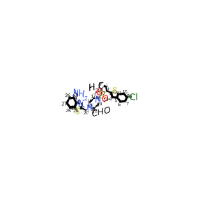 C=CC(c1cc2ccc(Cl)cc2s1)S(=O)(=O)N1CCN(Cc2nc3c(N)cccc3s2)C(C=O)C1